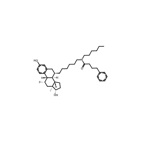 CCCCCCN(CCCCCC[C@@H]1Cc2cc(O)ccc2[C@@H]2[C@@H]1[C@@H]1CC[C@H](O)[C@@]1(C)C[C@@H]2F)C(=O)CCCc1ccccc1